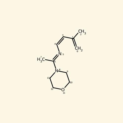 C=C(C)/C=C\N=C(/C)N1CCOCC1